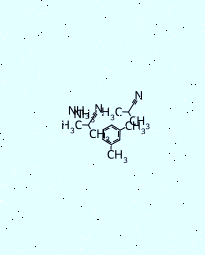 CC(C)C#N.CC(C)C#N.Cc1cccc(C)c1.N.N